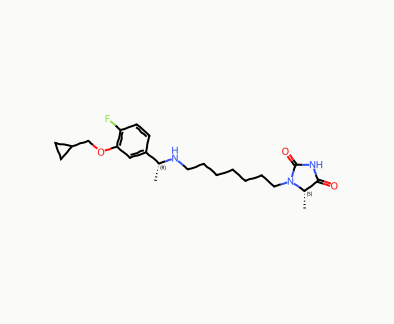 C[C@@H](NCCCCCCCN1C(=O)NC(=O)[C@@H]1C)c1ccc(F)c(OCC2CC2)c1